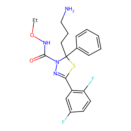 CCONC(=O)N1N=C(c2cc(F)ccc2F)SC1(CCCN)c1ccccc1